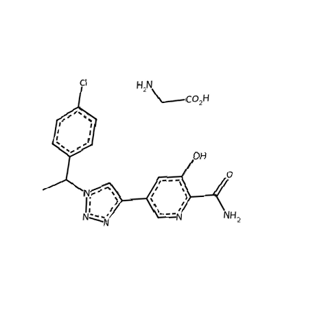 CC(c1ccc(Cl)cc1)n1cc(-c2cnc(C(N)=O)c(O)c2)nn1.NCC(=O)O